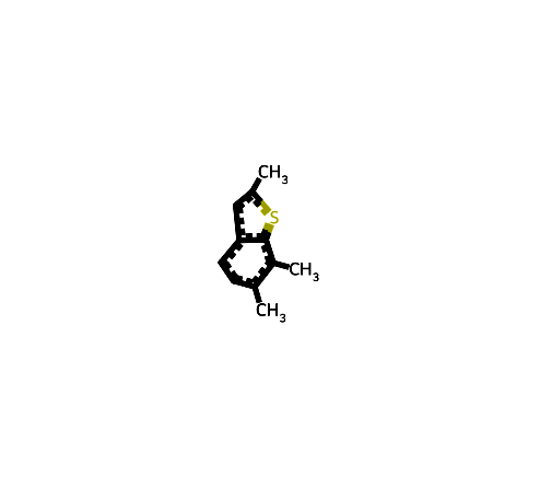 Cc1cc2ccc(C)c(C)c2s1